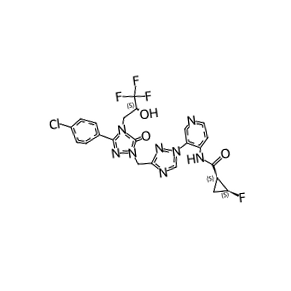 O=C(Nc1ccncc1-n1cnc(Cn2nc(-c3ccc(Cl)cc3)n(C[C@H](O)C(F)(F)F)c2=O)n1)[C@@H]1C[C@@H]1F